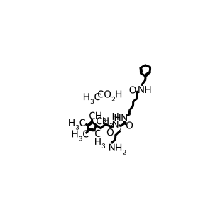 CC(=O)O.CC1=C(C)C(C)(CCC(=O)N[C@@H](CCCCN)C(=O)NCCCCCC(=O)NCCC2=CCCC=C2)C(C)=C1C